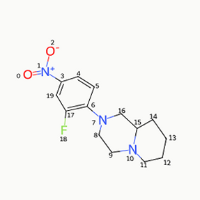 O=[N+]([O-])c1ccc(N2CCN3CCCCC3C2)c(F)c1